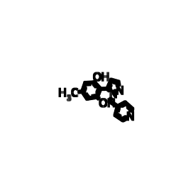 Cc1cc(O)c(-c2ccnn2Cc2ccncc2)c(O)c1